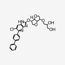 OCC(O)CO[C@@H]1CO[C@H]2C1OC[C@H]2Oc1nc2nc(-c3ccc(-c4ccccc4)cc3)c(Cl)cc2[nH]1